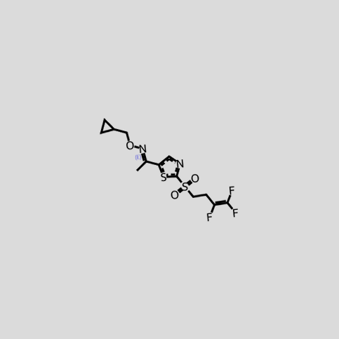 C/C(=N\OCC1CC1)c1cnc(S(=O)(=O)CCC(F)=C(F)F)s1